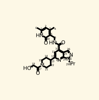 Cc1cc(C)c(CNC(=O)c2cc(C3CCN(C(=O)CO)CC3)nc3c2cnn3C(C)C)c(=O)[nH]1